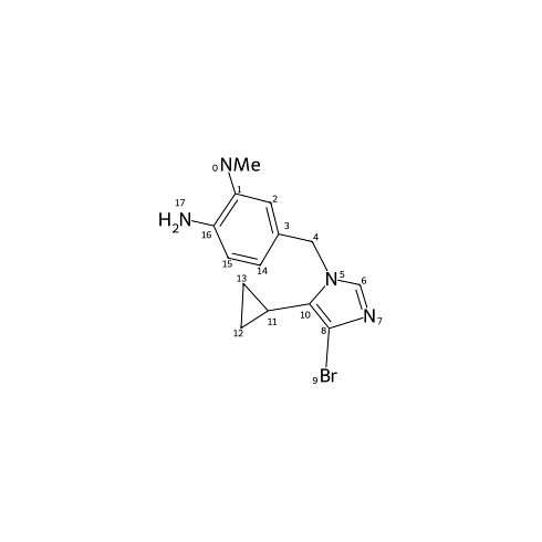 CNc1cc(Cn2cnc(Br)c2C2CC2)ccc1N